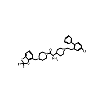 N[C@@H](C(=O)N1CCN(Cc2cccc3c2OC(F)(F)O3)CC1)C1CCN(CCc2cc(Cl)ccc2-c2ccccc2)CC1